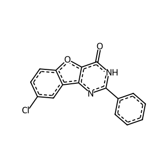 O=c1[nH]c(-c2ccccc2)nc2c1oc1ccc(Cl)cc12